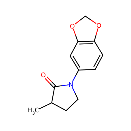 CC1CCN(c2ccc3c(c2)OCO3)C1=O